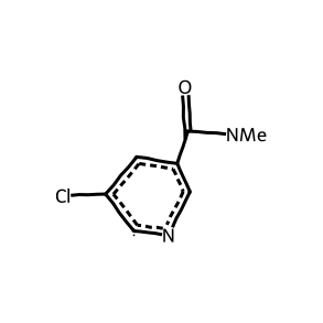 CNC(=O)c1cn[c]c(Cl)c1